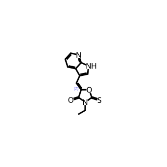 CCN1C(=O)/C(=C/c2c[nH]c3ncccc23)OC1=S